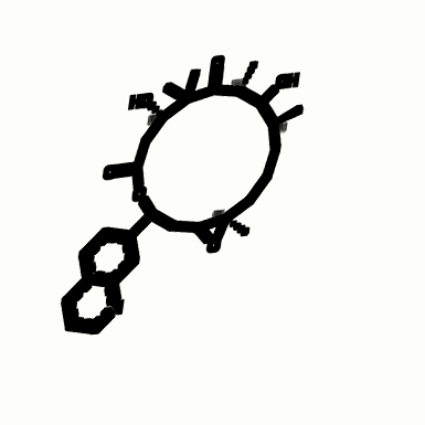 C[C@H]1CCC[C@@]2(C)OC2CC(c2ccc3cccnc3c2)OC(=O)C[C@H](O)C(C)(C)C(=O)[C@H](C)C1O